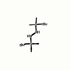 CC(C)(C)[Si](C)(C)NN[Si](C)(C)C(C)(C)C